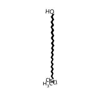 C[Si](Cl)(Cl)CCCCCCCCCCCCCCCCCCCCCCCCCCCO